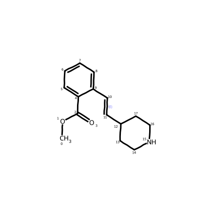 COC(=O)c1ccccc1/C=C/C1CCNCC1